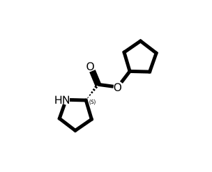 O=C(OC1CCCC1)[C@@H]1CCCN1